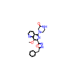 COc1c(-c2nnc(Cc3ccccc3)o2)nc(N2CCNC(=O)C2)c2cccnc12